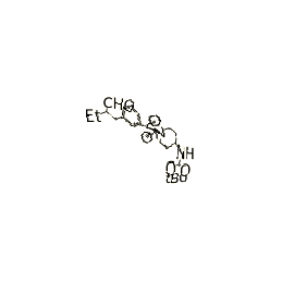 CCC(C=O)Cc1cccc(S(=O)(=O)N2CCC(NC(=O)OC(C)(C)C)CC2)c1